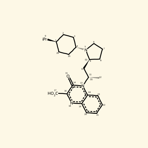 CC(C)[C@H]1CC[C@H](N2CCC[C@H]2C[C@H](C)n2c(=O)c(C(=O)O)nc3ccccc32)CC1